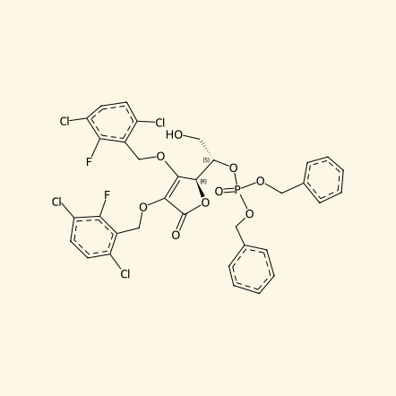 O=C1O[C@H]([C@H](CO)OP(=O)(OCc2ccccc2)OCc2ccccc2)C(OCc2c(Cl)ccc(Cl)c2F)=C1OCc1c(Cl)ccc(Cl)c1F